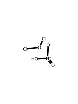 ClOCl.O=[N+]([O-])O